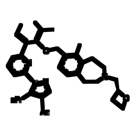 C/C=C(\C(OCc1ccc2c(c1C)CCN(C[C@@H]1CCO1)CC2)=C(C)C)c1cccc(-n2ncc(C(C)=O)c2CCC)n1